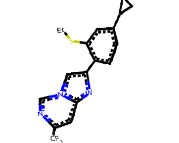 CCSc1cc(C2CC2)ccc1-c1cn2cnc(C(F)(F)F)cc2n1